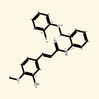 COc1ccc(/C=C/C(=O)Nc2ccccc2COc2ccccc2F)cc1O